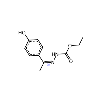 CCOC(=O)N/N=C(/C)c1ccc(O)cc1